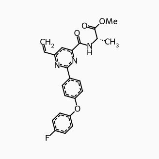 C=Cc1cc(C(=O)N[C@@H](C)C(=O)OC)nc(-c2ccc(Oc3ccc(F)cc3)cc2)n1